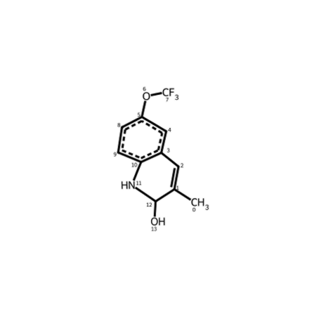 CC1=Cc2cc(OC(F)(F)F)ccc2NC1O